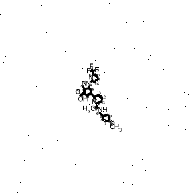 COc1ccc(CNC(C)c2cccc(-c3cc(C(=O)O)c4cnn(-c5cccc(C(F)(F)F)n5)c4c3)n2)cc1